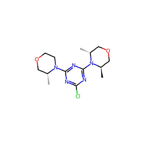 C[C@@H]1COCCN1c1nc(Cl)nc(N2[C@H](C)COC[C@H]2C)n1